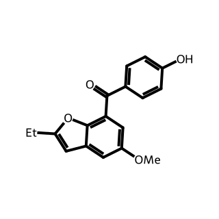 CCc1cc2cc(OC)cc(C(=O)c3ccc(O)cc3)c2o1